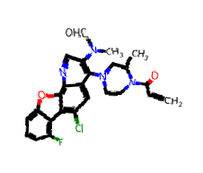 C=CC(=O)N1CCN(c2c(N(C)C=O)cnc3c2cc(Cl)c2c3oc3cccc(F)c32)CC1C